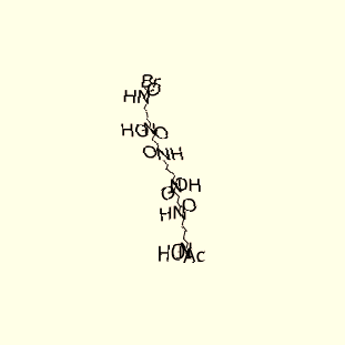 CC(=O)N(O)CCCCCNC(=O)CCC(=O)N(O)CCCCCNC(=O)CCC(=O)N(O)CCCCCNC(=O)CBr